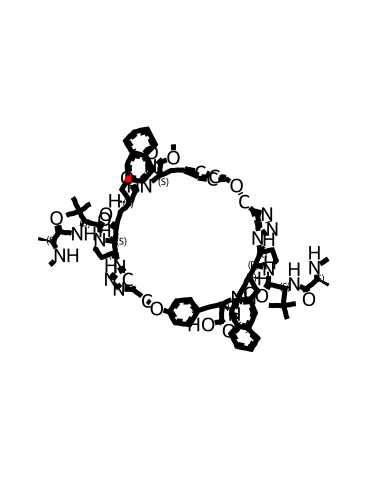 CN[C@@H](C)C(=O)N[C@H](C(=O)N1CC[C@@H]2[C@H]1[C@@H](Cc1ccc3ccccc3c1)C(=O)N[C@H](C(=O)O)c1ccc(cc1)OCc1cn(nn1)[C@@H]1CCN(C(=O)[C@@H](NC(=O)[C@H](C)NC)C(C)(C)C)[C@@H]1C(=O)C[C@@H](Cc1ccc3ccccc3c1)C(=O)N[C@H](C(=O)OC)Cc1ccc(cc1)OCc1cn2nn1)C(C)(C)C